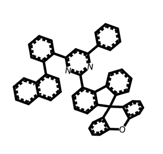 c1ccc(-c2cc(-c3ccccc3-c3cccc4ccccc34)nc(-c3cccc4c3-c3ccccc3C43c4ccccc4Oc4ccccc43)n2)cc1